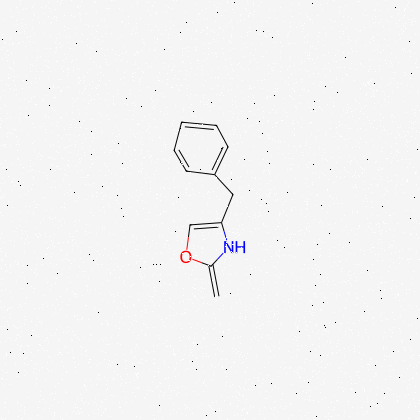 C=C1NC(Cc2ccccc2)=CO1